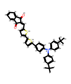 CC(C)(C)c1ccc(N(c2ccc(-c3ccc(-c4ccc(C=C5C(=O)c6ccccc6C5=O)s4)s3)cc2)c2ccc(C(C)(C)C)cc2)cc1